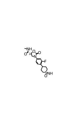 CNC(=O)[C@H]1CN(c2ccc(C3CCS(=N)(=O)CC3)c(F)c2)C(=O)O1